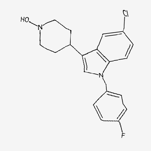 ON1CCC(c2cn(-c3ccc(F)cc3)c3ccc(Cl)cc23)CC1